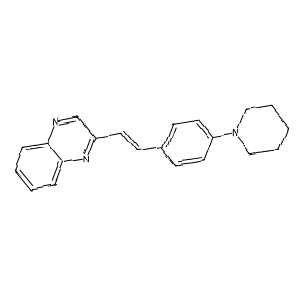 C(=Cc1cnc2ccccc2n1)c1ccc(N2CCCCC2)cc1